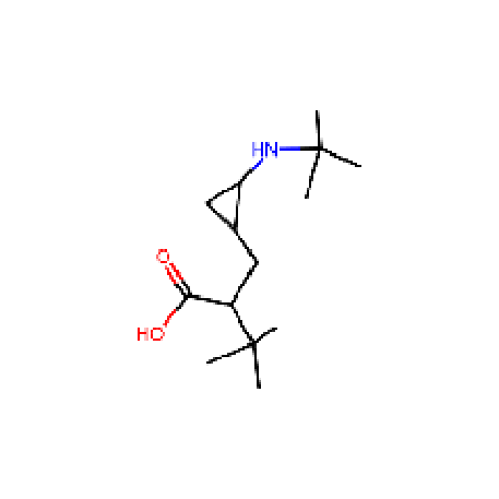 CC(C)(C)NC1CC1CC(C(=O)O)C(C)(C)C